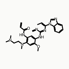 C=CC(=O)Nc1cc(N/C(N=C)=N/C(=C\C)n2cnc3ccccc32)c(OC)cc1N(C)CCN(C)C